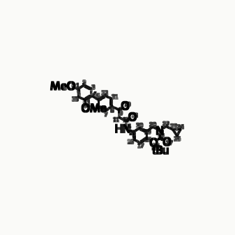 COc1ccc(-c2ccc(C(=O)CC(=O)Nc3cccc(CN(CC4CC4)C(=O)OC(C)(C)C)c3)cc2)c(OC)c1